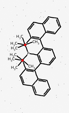 COc1ccc2ccccc2c1-c1cccc(-c2c(OC)ccc3ccccc23)c1P(C(C)(C)C)C(C)(C)C